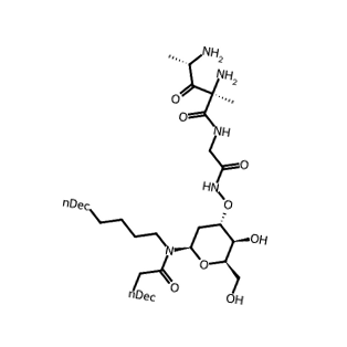 CCCCCCCCCCCCCCN(C(=O)CCCCCCCCCCC)[C@H]1C[C@H](ONC(=O)CNC(=O)[C@](C)(N)C(=O)[C@H](C)N)[C@@H](O)[C@@H](CO)O1